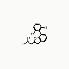 CCN(CC)CC1Cc2cccc(-c3c(Cl)cccc3Cl)c2O1